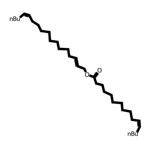 CCCC/C=C\CCCCCCCCC/C=C/COC(=O)CCCCCCCCC/C=C\CCCC